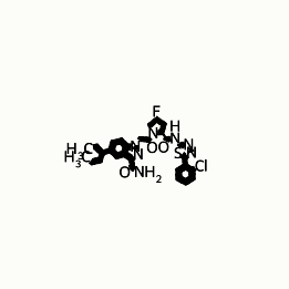 C/C=C\C(=C/C)c1ccc2c(c1)c(C(N)=O)nn2CC(=O)N1C[C@H](F)C[C@H]1C(=O)Nc1nnc(-c2ccccc2Cl)s1